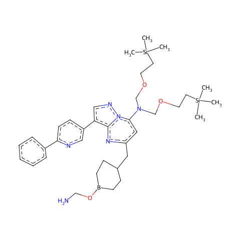 C[Si](C)(C)CCOCN(COCC[Si](C)(C)C)c1cc(CC2CCB(OCN)CC2)nc2c(-c3ccc(-c4ccccc4)nc3)cnn12